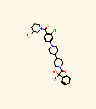 CC1CCCN(C(=O)c2ccc(N3CCC(C4CCN(C(=O)C(O)(c5c#cccc5)C(F)(F)F)CC4)CC3)cc2Cl)C1